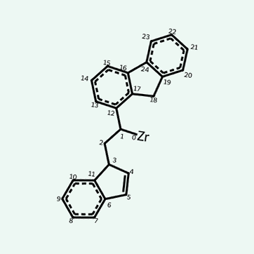 [Zr][CH](CC1C=Cc2ccccc21)c1cccc2c1Cc1ccccc1-2